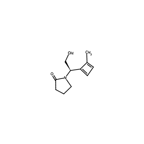 CC1=CC=C1[C@H](CO)N1CCCC1=O